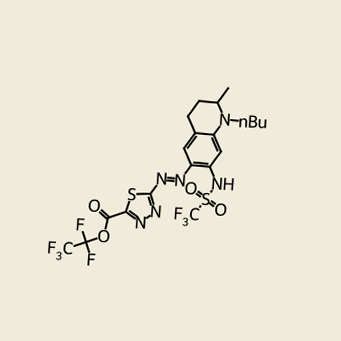 CCCCN1c2cc(NS(=O)(=O)C(F)(F)F)c(N=Nc3nnc(C(=O)OC(F)(F)C(F)(F)F)s3)cc2CCC1C